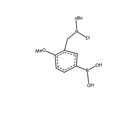 CCCCN(CC)Cc1cc(B(O)O)ccc1OC